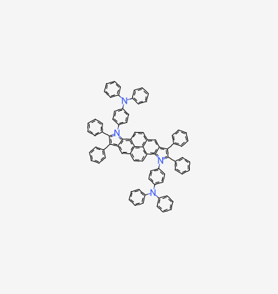 c1ccc(-c2c(-c3ccccc3)n(-c3ccc(N(c4ccccc4)c4ccccc4)cc3)c3c2cc2ccc4c5c(ccc3c25)cc2c(-c3ccccc3)c(-c3ccccc3)n(-c3ccc(N(c5ccccc5)c5ccccc5)cc3)c24)cc1